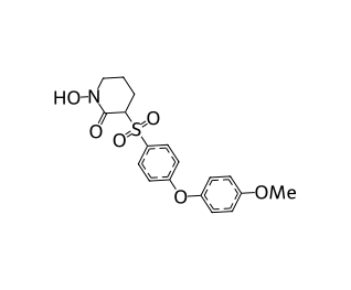 COc1ccc(Oc2ccc(S(=O)(=O)C3CCCN(O)C3=O)cc2)cc1